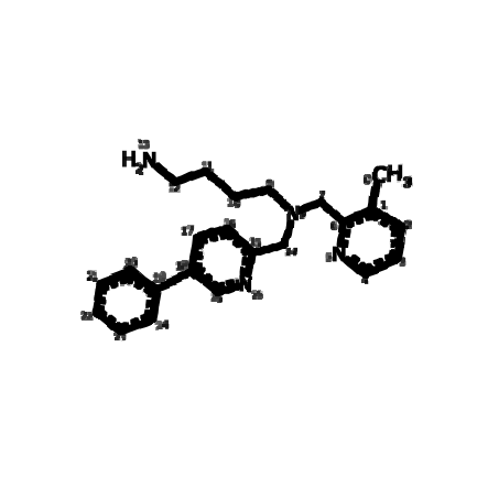 Cc1cccnc1CN(CCCCN)Cc1ccc(-c2ccccc2)cn1